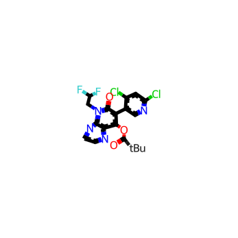 CC(C)(C)C(=O)Oc1c(-c2cnc(Cl)cc2Cl)c(=O)n(CC(F)F)c2nccnc12